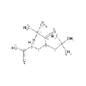 CC(C)(C)CC(CCC(=O)O)C(=O)C(C)(C)C